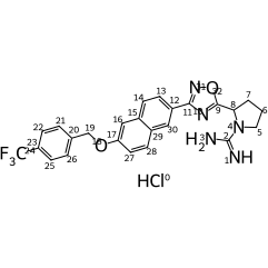 Cl.N=C(N)N1CCCC1c1nc(-c2ccc3cc(OCc4ccc(C(F)(F)F)cc4)ccc3c2)no1